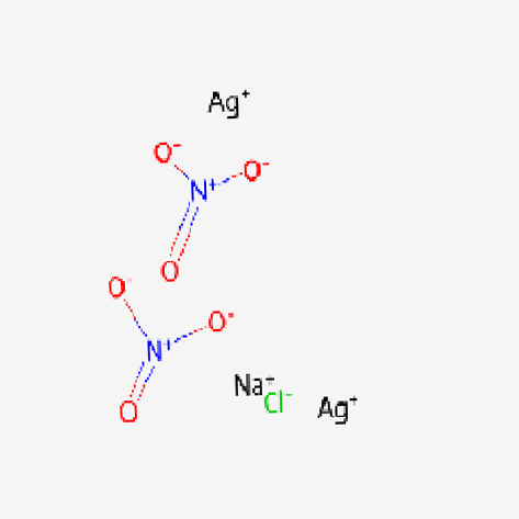 O=[N+]([O-])[O-].O=[N+]([O-])[O-].[Ag+].[Ag+].[Cl-].[Na+]